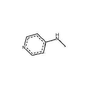 CNc1[c]cncc1